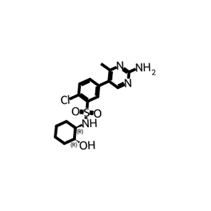 Cc1nc(N)ncc1-c1ccc(Cl)c(S(=O)(=O)N[C@@H]2CCCC[C@H]2O)c1